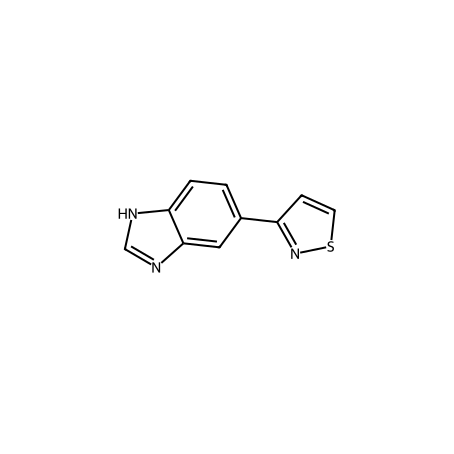 c1nc2cc(-c3ccsn3)ccc2[nH]1